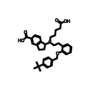 CC(C)(C)c1ccc(COc2ccccc2CCN(CCCCC(=O)O)C2CCc3cc(C(=O)O)ccc32)cc1